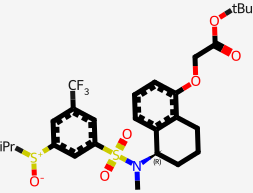 CC(C)[S+]([O-])c1cc(C(F)(F)F)cc(S(=O)(=O)N(C)[C@@H]2CCCc3c(OCC(=O)OC(C)(C)C)cccc32)c1